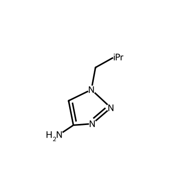 CC(C)Cn1cc(N)nn1